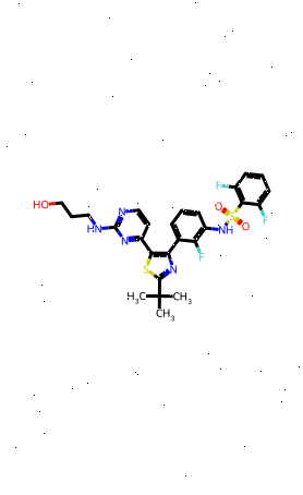 CC(C)(C)c1nc(-c2cccc(NS(=O)(=O)c3c(F)cccc3F)c2F)c(-c2ccnc(NCCCO)n2)s1